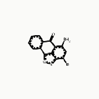 Bc1cc(Br)c2noc3c2c1C(=O)c1ccccc1-3